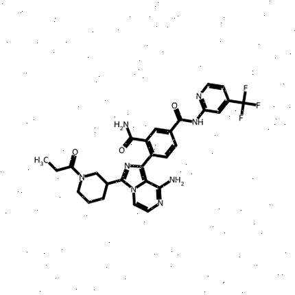 CCC(=O)N1CCCC(c2nc(-c3ccc(C(=O)Nc4cc(C(F)(F)F)ccn4)cc3C(N)=O)c3c(N)nccn23)C1